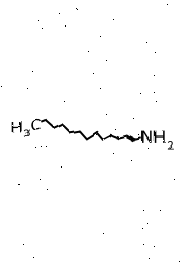 CCCCCCCCCCC/C=C/N